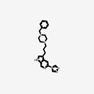 c1ccc(CN2CCN(CCCc3c[nH]c4cnc(-n5cnnc5)cc34)CC2)cc1